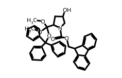 COC(OC)(OC(c1ccccc1)(c1ccccc1)c1ccccc1)C1CC(O)CN1C(=O)OCC1c2ccccc2-c2ccccc21